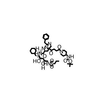 CCCS(=O)(=O)NC[C@H](O)C[C@H](O)[C@H](CC1CCCCC1)NC(=O)C(N)CC1(C(=O)CCC(=O)N2CCC(NC(=O)OC(C)(C)C)CC2)C=NC(Cc2ccccc2)=N1